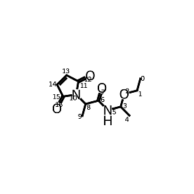 CCOC(C)NC(=O)C(C)N1C(=O)C=CC1=O